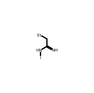 CCCC(=N)NI